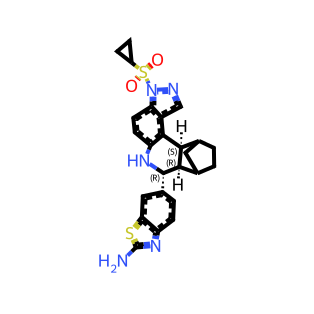 Nc1nc2ccc([C@@H]3Nc4ccc5c(cnn5S(=O)(=O)C5CC5)c4[C@H]4C5CCC(C5)[C@@H]34)cc2s1